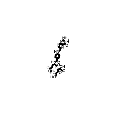 Nc1nc2ncc(CNc3ccc(C(=O)NC(CCC(=O)O)C(=O)OC4=C(O)C(=O)O[C@@H]4[C@@H](O)CO)cc3)nc2c(=O)[nH]1